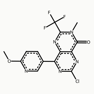 COc1ccc(-c2nc(Cl)nc3c(=O)n(C)c(C(F)(F)F)nc23)cn1